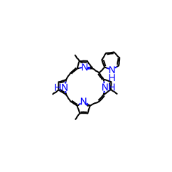 CC1=Cc2cc3[nH]c(cc3C)c(C3=CC=CC=CN3)c3nc(cc4cc(C)c(cc1n2)[nH]4)C(C)=C3